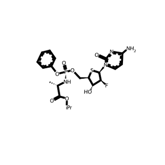 CC(C)OC(=O)[C@H](C)N[P@](=O)(OC[C@H]1S[C@@H](n2ccc(N)nc2=O)[C@@H](F)[C@@H]1O)Oc1ccccc1